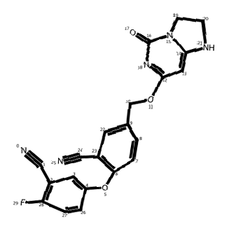 N#Cc1cc(Oc2ccc(COc3cc4n(c(=O)n3)CCN4)cc2C#N)ccc1F